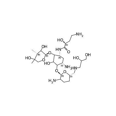 C[C@@H]1C(O)[C@@H](OC2C(O)C(O[C@H]3O[C@H](CNCC(O)CO)CCC3N)[C@@H](N)C[C@H]2NC(=O)[C@@H](O)CCN)OCC1(C)O